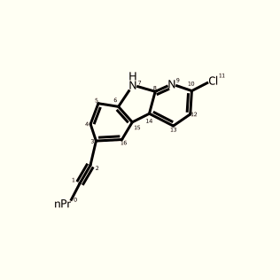 CCCC#Cc1ccc2[nH]c3nc(Cl)ccc3c2c1